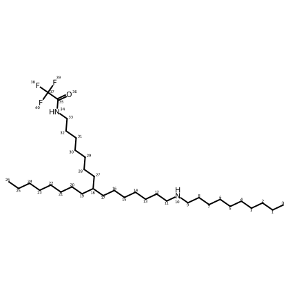 CCCCCCCCCCNCCCCCCCC(CCCCCCCC)CCCCCCCNC(=O)C(F)(F)F